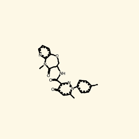 Cc1ccc(-n2nc(C(=O)NC3COc4cccnc4N(C)C3=O)c(=O)cc2C)cc1